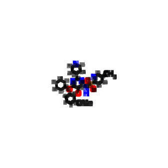 COc1ccccc1Oc1c(NS(=O)(=O)c2ccc(C)cn2)nc(-c2ccncc2)nc1OC1CCCCC1